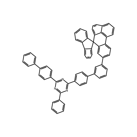 c1ccc(-c2ccc(-c3nc(-c4ccccc4)nc(-c4ccc(-c5cccc(-c6ccc7c(c6)C6(c8ccccc8-c8ccccc86)c6cccc8cccc-7c68)c5)cc4)n3)cc2)cc1